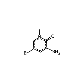 Bc1cc(Br)cn(C)c1=O